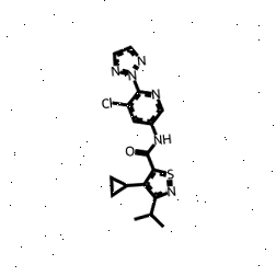 CC(C)c1nsc(C(=O)Nc2cnc(-n3nccn3)c(Cl)c2)c1C1CC1